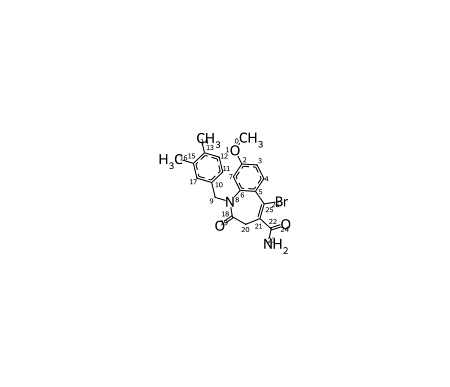 COc1ccc2c(c1)N(Cc1ccc(C)c(C)c1)C(=O)CC(C(N)=O)=C2Br